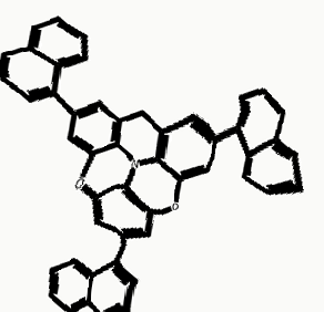 c1ccc2c(-c3cc4c5c(c3)Oc3cc(-c6cccc7ccccc67)cc6c3N5c3c(cc(-c5cccc7ccccc57)cc3O6)C4)cccc2c1